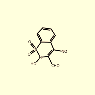 O=CC1=C(N=O)c2ccccc2S(=O)(=O)N1O